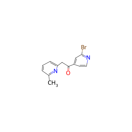 Cc1cccc(CC(=O)c2ccnc(Br)c2)n1